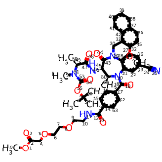 COC(=O)COCCOCCNC(=O)c1ccc(C(=O)N2c3cc(C#N)ccc3N(Cc3c(OC)ccc4ccccc34)C(=O)[C@@H](NC(=O)[C@H](C)N(C)C(=O)OC(C)(C)C)[C@@H]2C)cc1